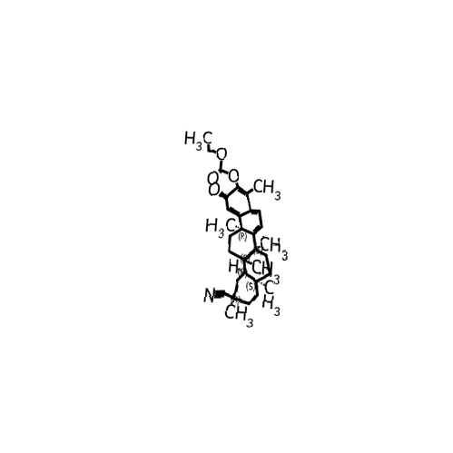 CCOC(=O)OC1=C(C)C2=CC=C3[C@@](C)(CC[C@@]4(C)[C@@H]5C[C@](C)(C#N)CC[C@]5(C)CC[C@]34C)C2=CC1=O